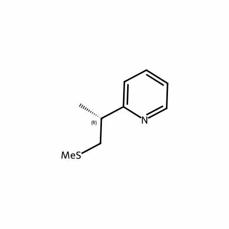 CSC[C@H](C)c1ccccn1